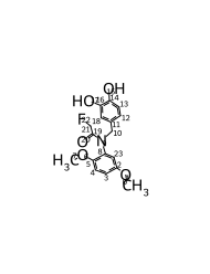 COc1ccc(OC)c(N(Cc2ccc(O)c(O)c2)C(=O)CF)c1